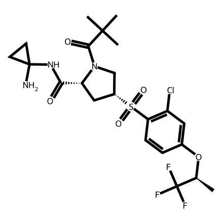 C[C@H](Oc1ccc(S(=O)(=O)[C@@H]2C[C@H](C(=O)NC3(N)CC3)N(C(=O)C(C)(C)C)C2)c(Cl)c1)C(F)(F)F